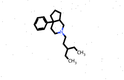 CCC(CC)CCN1CCC2(c3ccccc3)CCCC2C1